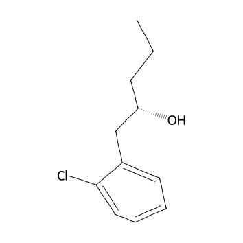 CCC[C@H](O)Cc1ccccc1Cl